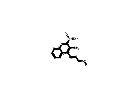 COC/C=C/c1c(N)c([N+](=O)[O-])nc2ccccc12